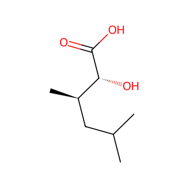 CC(C)C[C@@H](C)[C@@H](O)C(=O)O